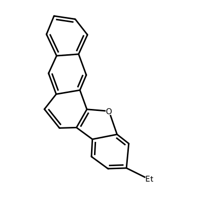 CCc1ccc2c(c1)oc1c3cc4ccccc4cc3ccc21